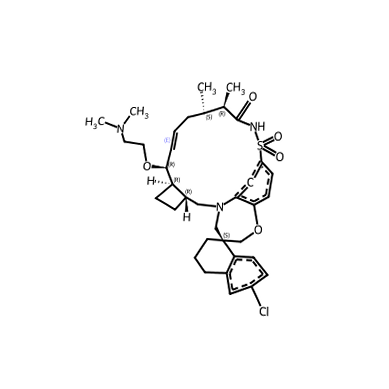 C[C@H]1C/C=C/[C@H](OCCN(C)C)[C@@H]2CC[C@H]2CN2C[C@@]3(CCCc4cc(Cl)ccc43)COc3ccc(cc32)S(=O)(=O)NC(=O)[C@@H]1C